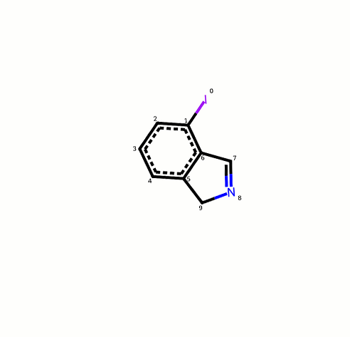 Ic1cccc2c1C=NC2